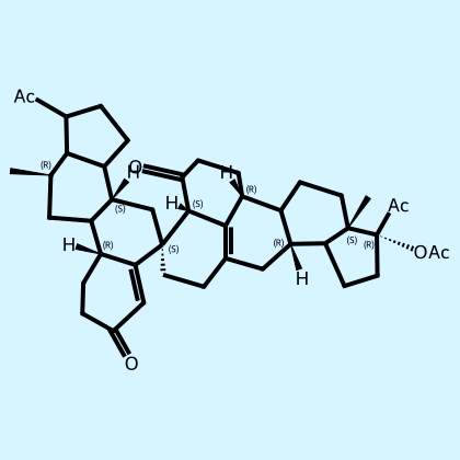 CC(=O)O[C@]1(C(C)=O)CCC2[C@@H]3CC4=C5[C@@H](C(=O)CC[C@@H]5C3CC[C@@]21C)[C@]1(CC4)C[C@H]2C3CCC(C(C)=O)C3[C@H](C)CC2[C@H]2CCC(=O)C=C21